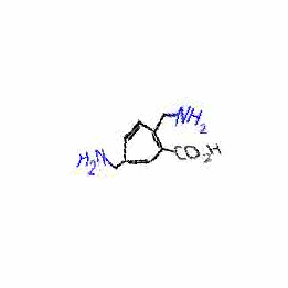 NCc1ccc(CN)c(C(=O)O)c1